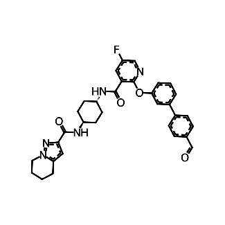 O=Cc1ccc(-c2cccc(Oc3ncc(F)cc3C(=O)N[C@H]3CC[C@H](NC(=O)c4cc5n(n4)CCCC5)CC3)c2)cc1